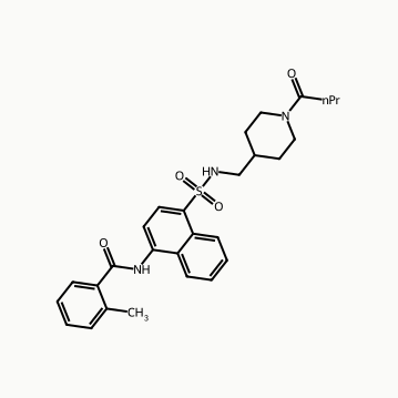 CCCC(=O)N1CCC(CNS(=O)(=O)c2ccc(NC(=O)c3ccccc3C)c3ccccc23)CC1